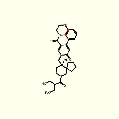 O=C(c1cn(C[C@@]2(O)CCN(C(=O)C(CO)CC(F)(F)F)CC23CCCC3)c(=O)cc1-c1ccccc1)N1CCNCC1